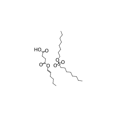 CCCCC=COC(=O)CCC(=O)O.CCCCCCCCOS(=O)(=O)CCCCCCCC